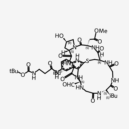 CC[C@H](C)[C@@H]1NC(=O)CN[C@@]2(C=O)Cc3c([nH]c4ccc(NC(=O)CCNC(=O)OC(C)(C)C)cc34)SC[C@H](NC(=O)CNC1=O)C(=O)N[C@@H](CC(=O)OC)C(=O)N1C[C@H](O)C[C@H]1C(=O)N[C@@H]([C@@H](C)CC)C(=O)N2